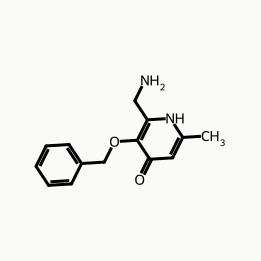 Cc1cc(=O)c(OCc2ccccc2)c(CN)[nH]1